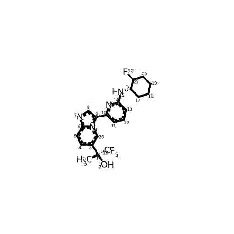 C[C@](O)(c1ccc2ncc(-c3cccc(N[C@H]4CCCC[C@@H]4F)n3)n2c1)C(F)(F)F